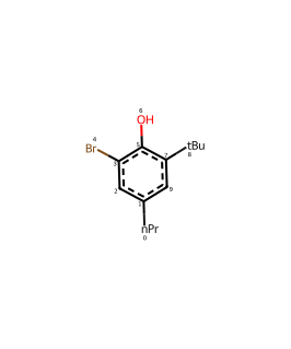 CCCc1cc(Br)c(O)c(C(C)(C)C)c1